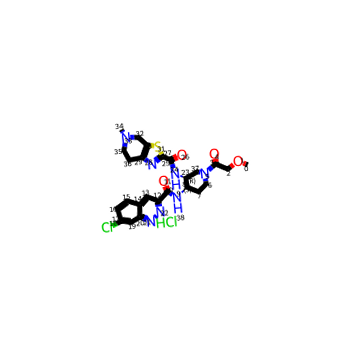 COCC(=O)N1CC[C@H](NC(=O)c2cc3ccc(Cl)cc3nn2)[C@H](NC(=O)c2nc3c(s2)CN(C)CC3)C1.Cl